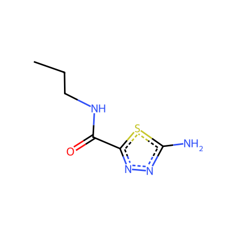 CCCNC(=O)c1nnc(N)s1